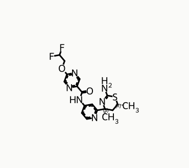 C[C@@H]1C[C@@](C)(c2cc(NC(=O)c3cnc(OCC(F)F)cn3)ccn2)N=C(N)S1